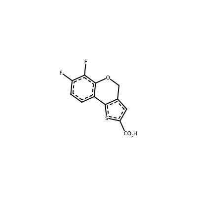 O=C(O)c1cc2c(s1)-c1ccc(F)c(F)c1OC2